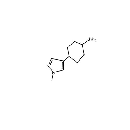 Cn1cc(C2CCC(N)CC2)cn1